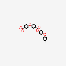 COC(=O)c1ccc(Oc2ccc(C(=O)Oc3ccc(Oc4ccc(C)cc4)cc3)cc2)cc1